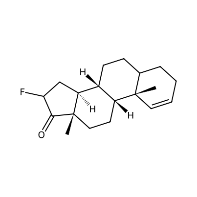 C[C@]12C=CCCC1CC[C@@H]1[C@H]2CC[C@]2(C)C(=O)C(F)C[C@@H]12